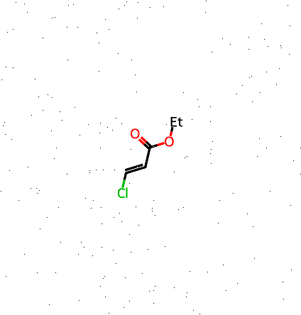 CCOC(=O)C=CCl